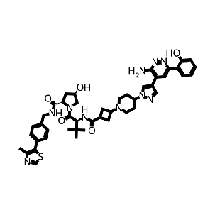 Cc1ncsc1-c1ccc(CNC(=O)[C@@H]2C[C@@H](O)CN2C(=O)[C@@H](NC(=O)C2CC(N3CCC(n4cc(-c5cc(-c6ccccc6O)nnc5N)cn4)CC3)C2)C(C)(C)C)cc1